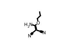 CCCOC(N)=C(C#N)C#N